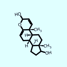 C[C@]12C=CC(O)OC1=CC[C@@H]1[C@H]2CC[C@]2(C)C(O)CC[C@@H]12